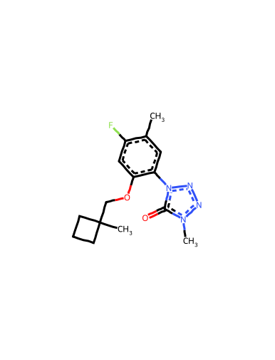 Cc1cc(-n2nnn(C)c2=O)c(OCC2(C)CCC2)cc1F